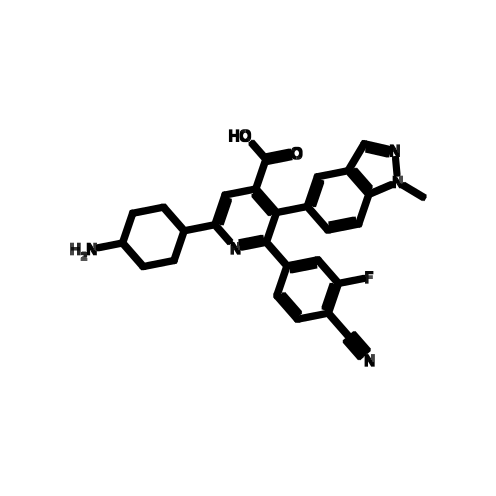 Cn1ncc2cc(-c3c(C(=O)O)cc(C4CCC(N)CC4)nc3-c3ccc(C#N)c(F)c3)ccc21